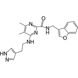 Cc1nc(C(=O)NCc2coc3ccccc23)nc(NCCc2cn[nH]c2)c1C